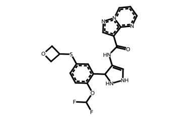 O=C(NC1=CNNC1c1cc(SC2COC2)ccc1OC(F)F)c1cnn2cccnc12